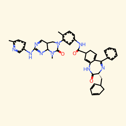 Cc1ccc(NC2=NC3C(C=N2)CN(c2cc(NC(=O)C4C=C5NC(=O)[C@@H](CC6C=CC=CC6)N=C(c6ccccc6)C5=CC4)ccc2C)C(=O)N3C)cn1